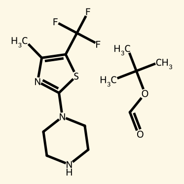 CC(C)(C)OC=O.Cc1nc(N2CCNCC2)sc1C(F)(F)F